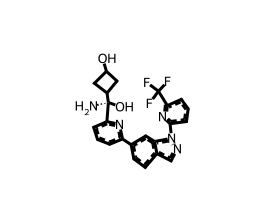 N[C@](O)(c1cccc(-c2ccc3cnn(-c4cccc(C(F)(F)F)n4)c3c2)n1)C1CC(O)C1